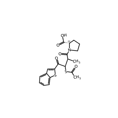 CC(=O)SC(C(=O)c1cc2ccccc2s1)C(C)C(=O)N1CCC[C@H]1C(=O)O